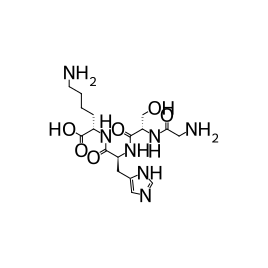 NCCCC[C@H](NC(=O)[C@H](Cc1cnc[nH]1)NC(=O)[C@H](CO)NC(=O)CN)C(=O)O